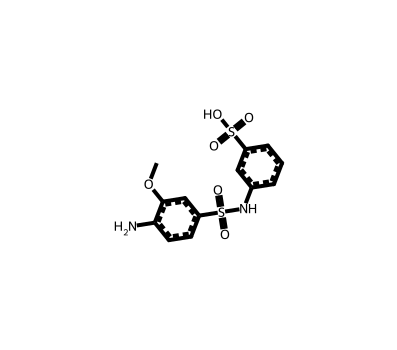 COc1cc(S(=O)(=O)Nc2cccc(S(=O)(=O)O)c2)ccc1N